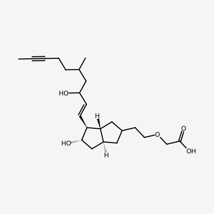 CC#CCCC(C)CC(O)C=C[C@H]1[C@@H]2CC(CCOCC(=O)O)C[C@H]2C[C@@H]1O